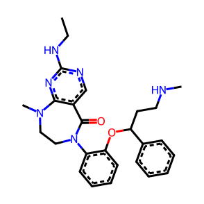 CCNc1ncc2c(n1)N(C)CCN(c1ccccc1OC(CCNC)c1ccccc1)C2=O